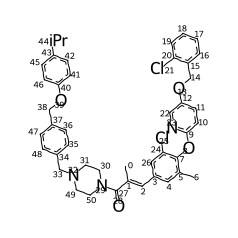 C/C(=C\c1cc(C)c(Oc2ccc(OCc3ccccc3Cl)cn2)c(Cl)c1)C(=O)N1CCN(Cc2ccc(COc3ccc(C(C)C)cc3)cc2)CC1